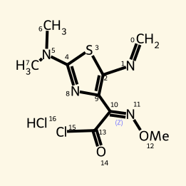 C=Nc1sc(N(C)C)nc1/C(=N/OC)C(=O)Cl.Cl